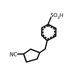 N#CC1CCC(Cc2ccc(S(=O)(=O)O)cc2)C1